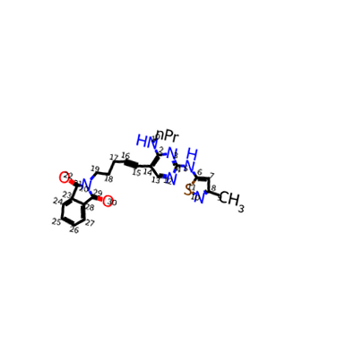 CCCNc1nc(Nc2cc(C)ns2)ncc1C#CCCCN1C(=O)c2ccccc2C1=O